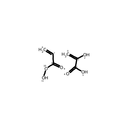 C=C(O)C(=O)O.C=CC(=O)OO